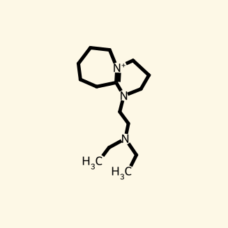 CCN(CC)CCN1CCC[N+]2=C1CCCCC2